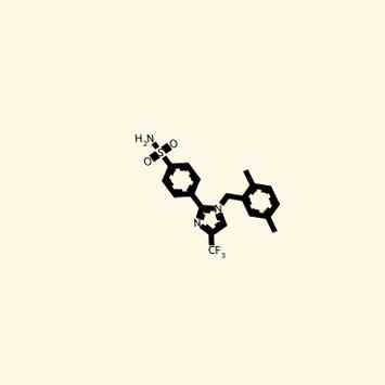 Cc1ccc(C)c(Cn2cc(C(F)(F)F)nc2-c2ccc(S(N)(=O)=O)cc2)c1